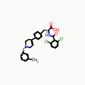 Cc1cccc(CN2CC=C(c3ccc(C[C@H](NC(=O)c4c(Cl)cccc4Cl)C(=O)O)cc3)CC2)c1